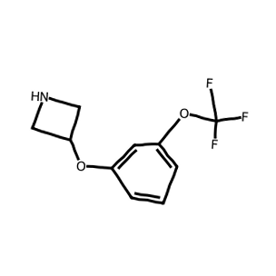 FC(F)(F)Oc1cccc(OC2CNC2)c1